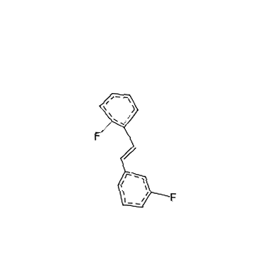 Fc1cccc(/C=C/c2ccccc2F)c1